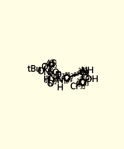 CC(C)(C)OC(=O)N[C@@H](C(=O)N1CCOC[C@H]1C(=O)Nc1ccc(C#Cc2c[nH]nc2-c2cc(Cl)ccc2O)cc1)c1ccsc1